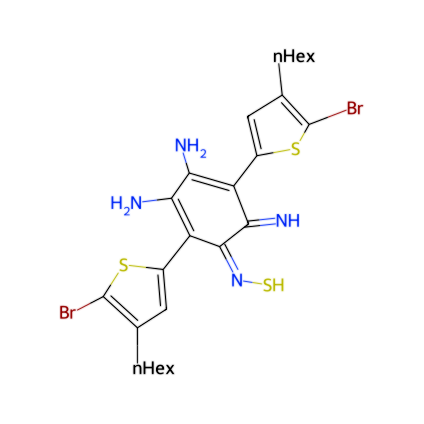 CCCCCCc1cc(C2=C(N)C(N)=C(c3cc(CCCCCC)c(Br)s3)/C(=N/S)C2=N)sc1Br